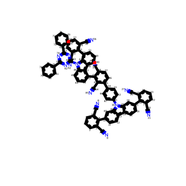 N#Cc1cccc(C#N)c1-c1ccc2c3ccc(-c4c(C#N)cccc4C#N)cc3n(-c3ccc(-c4ccc(C#N)c(-c5cccc6c5c5cccc(-c7c(C#N)cccc7C#N)c5n6-c5nc(-c6ccccc6)nc(-c6ccccc6)n5)c4C#N)cc3)c2c1